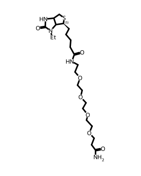 CCN1C(=O)NC2CS[C@@H](CCCCC(=O)NCCOCCOCCOCCOCCC(N)=O)C21